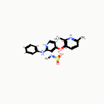 CC(=O)N=S(=O)=O.Cc1ccc(Oc2ccnc(Nc3ccccc3)c2)c(C)n1